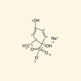 CC1C=C(O)C=CC1(O)S(=O)(=O)[O-].[Na+]